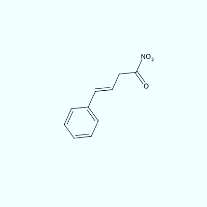 O=C(C/C=C/c1ccccc1)[N+](=O)[O-]